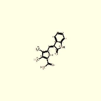 CC(=O)c1[nH]c(C=C2C(=O)Nc3ccccc32)c(C)c1C